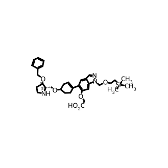 C[Si](C)(C)CCOCn1ncc2cc(C3=CCC(OC[C@@H]4NCC[C@H]4OCc4ccccc4)CC3)c(OCC(=O)O)cc21